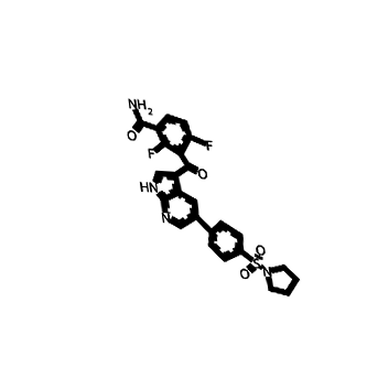 NC(=O)c1ccc(F)c(C(=O)c2c[nH]c3ncc(-c4ccc(S(=O)(=O)N5CCCC5)cc4)cc23)c1F